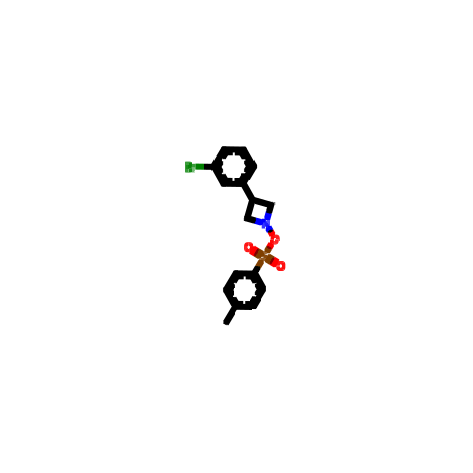 Cc1ccc(S(=O)(=O)ON2CC(c3cccc(Br)c3)C2)cc1